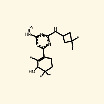 CC(C)Nc1nc(NC2CC(F)(F)C2)nc(C2=C(F)C(O)C(F)(F)CC2)n1